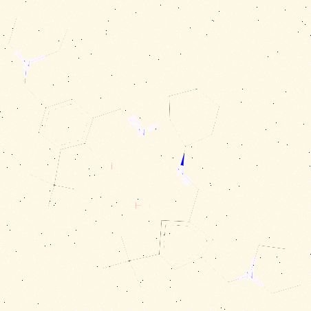 CCN(CC)Cc1cc(/C=N/[C@@H]2CCCC[C@H]2/N=C/c2cc(CN(CC)CC)cc(C(C)(C)C)c2O)c(O)c(C(C)(C)C)c1